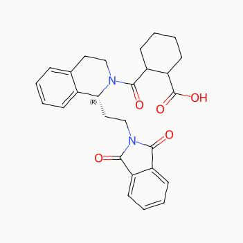 O=C(O)C1CCCCC1C(=O)N1CCc2ccccc2[C@H]1CCN1C(=O)c2ccccc2C1=O